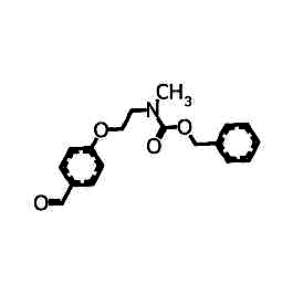 CN(CCOc1ccc(C=O)cc1)C(=O)OCc1ccccc1